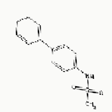 CS(=O)(=O)Nc1ccc(C2=CCCC=C2)cc1